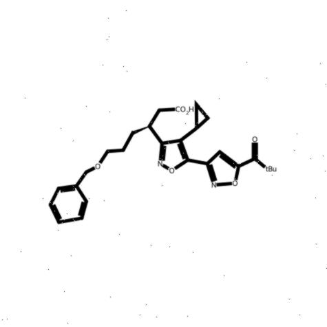 CC(C)(C)C(=O)c1cc(-c2onc([C@@H](CCCOCc3ccccc3)CC(=O)O)c2C2CC2)no1